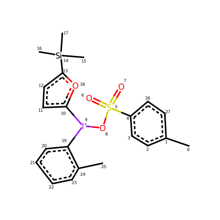 Cc1ccc(S(=O)(=O)O[I+](c2ccc([Si](C)(C)C)o2)c2ccccc2C)cc1